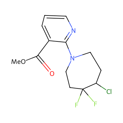 COC(=O)c1cccnc1N1CCC(Cl)C(F)(F)CC1